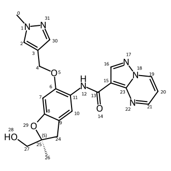 Cn1cc(COc2cc3c(cc2NC(=O)c2cnn4cccnc24)C[C@@](C)(CO)O3)cn1